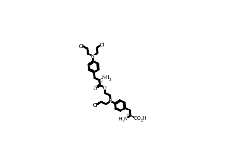 N[C@@H](Cc1ccc(N(CCCl)CCOC(=O)[C@@H](N)Cc2ccc(N(CCCl)CCCl)cc2)cc1)C(=O)O